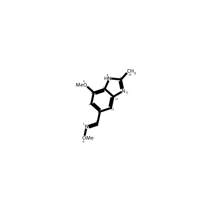 CO/N=C/c1cc(OC)c2[nH]c(C)nc2c1